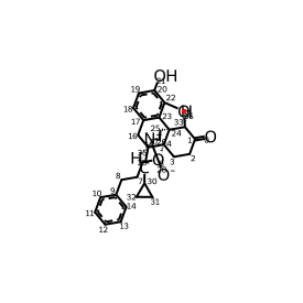 O=C1CC[C@@]2(OCCCc3ccccc3)[C@H]3Cc4ccc(O)c5c4[C@@]2(CC[N+]3([O-])CC2CC2)[C@H]1O5